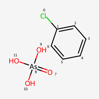 Clc1ccccc1.O=[As](O)(O)O